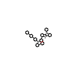 c1ccc(-c2ccc(-c3ccc(N(c4cccc(-c5cccc6c5sc5c7ccccc7n(-c7ccccc7)c65)c4)c4ccccc4-c4ccccc4)cc3)cc2)cc1